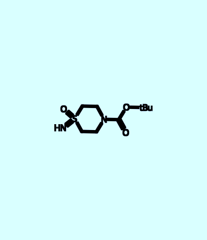 CC(C)(C)OC(=O)N1CCS(=N)(=O)CC1